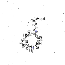 C/C=C1\NC(=O)c2nc(ccc2F)CNC(=O)C[C@@H](/C=C/CCSC(=O)CCCCCCC)OC(=O)[C@H](C)NC1=O